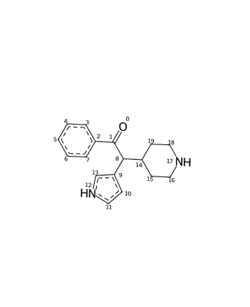 O=C(c1ccccc1)C(c1cc[nH]c1)C1CCNCC1